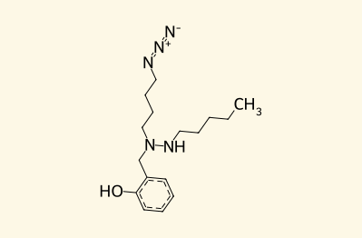 CCCCCNN(CCCCN=[N+]=[N-])Cc1ccccc1O